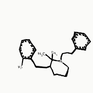 Cc1ccccc1CC1CCCN(CCc2ccccc2)C1(C)C